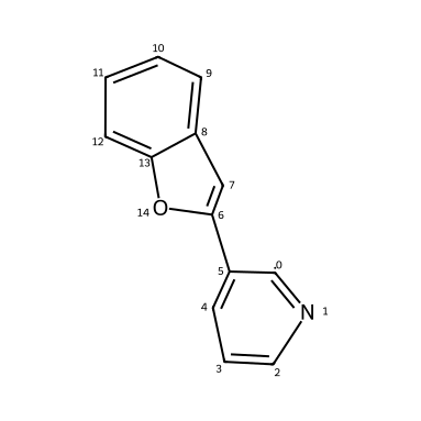 [c]1ncccc1-c1cc2ccccc2o1